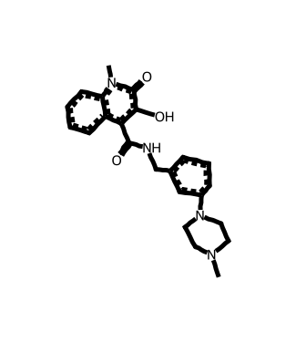 CN1CCN(c2cccc(CNC(=O)c3c(O)c(=O)n(C)c4ccccc34)c2)CC1